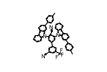 Cc1ccc(-c2ccc3c4ccccc4n(-c4cc(-c5cc(C#N)cc(C(F)(F)F)c5)cc(-n5c6ccccc6c6ccc(-c7ccc(C)cc7)cc65)c4C#N)c3c2)cc1